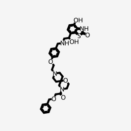 O=C(COCc1ccccc1)N1CCOC2(CCN(CCOc3ccc(CNCC(O)c4ccc(O)c5[nH]c(=O)sc45)cc3)CC2)C1